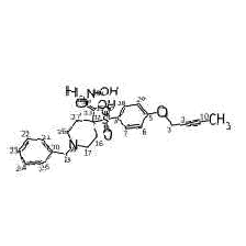 CC#CCOc1ccc(S(=O)(=O)C2(C(=O)O)CCN(Cc3ccccc3)CC2)cc1.NO